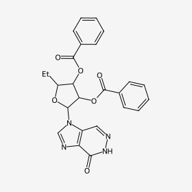 CCC1OC(n2cnc3c(=O)[nH]ncc32)C(OC(=O)c2ccccc2)C1OC(=O)c1ccccc1